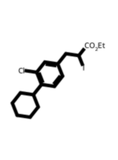 CCOC(=O)C(I)Cc1ccc(C2CCCCC2)c(Cl)c1